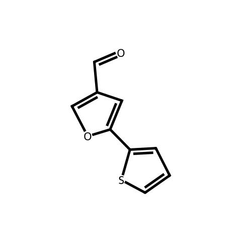 O=Cc1coc(-c2cccs2)c1